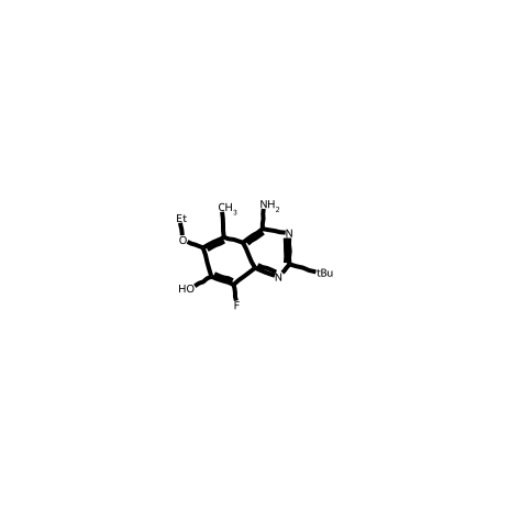 CCOc1c(O)c(F)c2nc(C(C)(C)C)nc(N)c2c1C